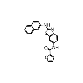 O=C(Nc1ccc2nc(Nc3ccc4ccccc4c3)sc2c1)c1ccco1